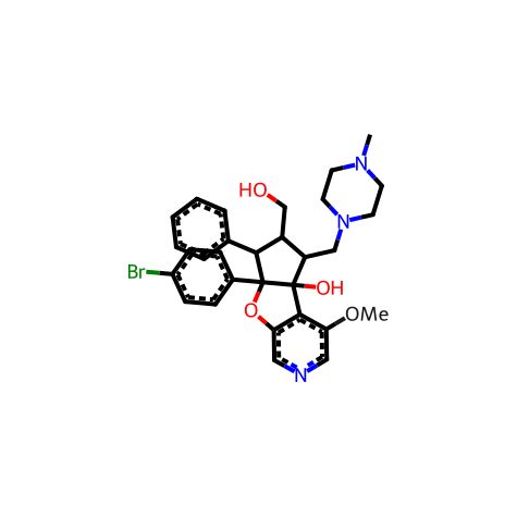 COc1cncc2c1C1(O)C(CN3CCN(C)CC3)C(CO)C(c3ccccc3)C1(c1ccc(Br)cc1)O2